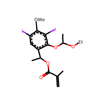 C=C(C)C(=O)OC(C)c1cc(I)c(OC)c(I)c1OC(C)OCC